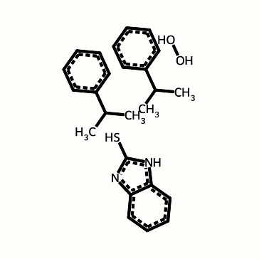 CC(C)c1ccccc1.CC(C)c1ccccc1.OO.Sc1nc2ccccc2[nH]1